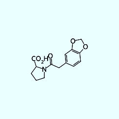 O=C(O)C1CCCN1C(=O)Cc1ccc2c(c1)OCO2